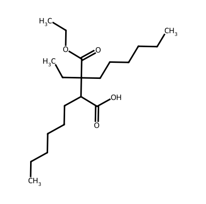 CCCCCCC(C(=O)O)C(CC)(CCCCCC)C(=O)OCC